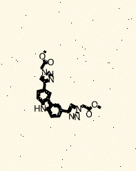 COC(=O)Cn1cc(-c2ccc3[nH]c4ccc(-c5cn(CC(=O)OC)nn5)cc4c3c2)nn1